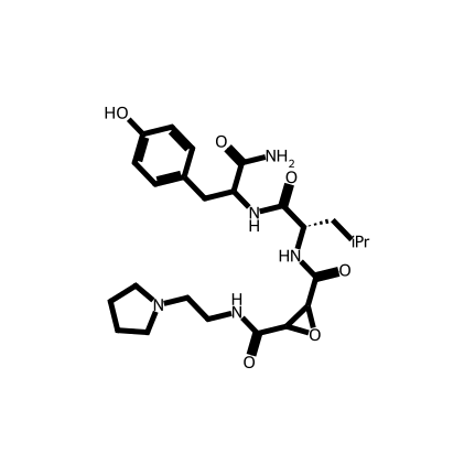 CC(C)C[C@H](NC(=O)C1OC1C(=O)NCCN1CCCC1)C(=O)NC(Cc1ccc(O)cc1)C(N)=O